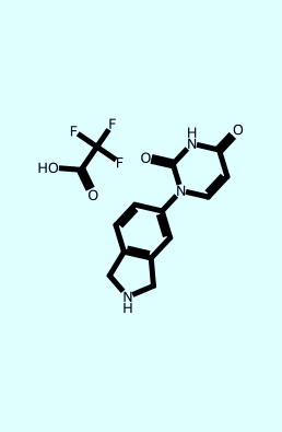 O=C(O)C(F)(F)F.O=c1ccn(-c2ccc3c(c2)CNC3)c(=O)[nH]1